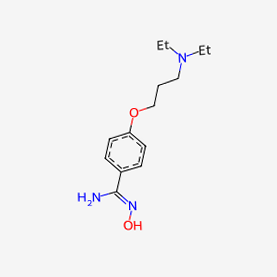 CCN(CC)CCCOc1ccc(C(N)=NO)cc1